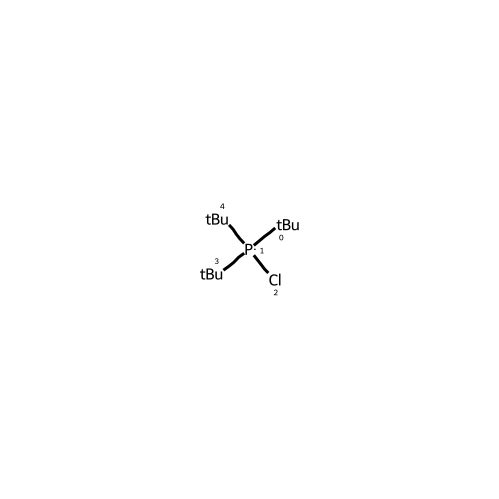 CC(C)(C)[P](Cl)(C(C)(C)C)C(C)(C)C